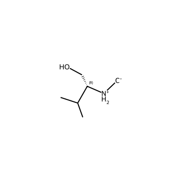 [CH2-][NH2+][C@@H](CO)C(C)C